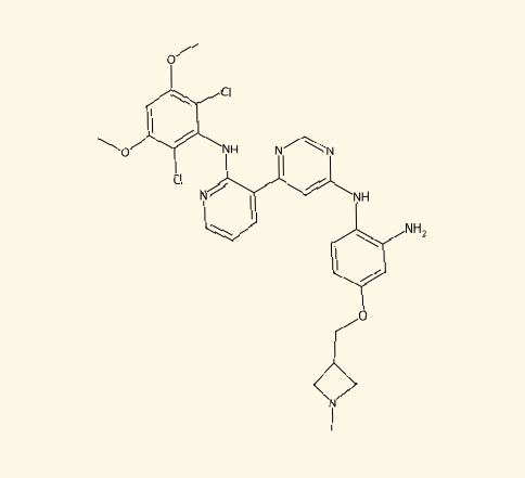 COc1cc(OC)c(Cl)c(Nc2ncccc2-c2cc(Nc3ccc(OCC4CN(C)C4)cc3N)ncn2)c1Cl